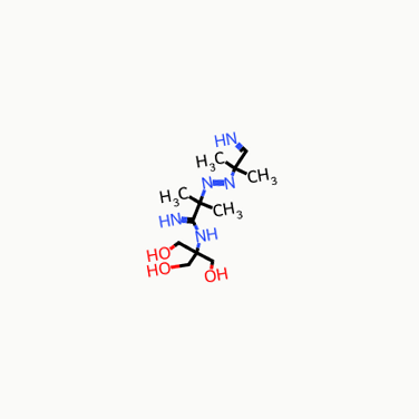 CC(C)(C=N)N=NC(C)(C)C(=N)NC(CO)(CO)CO